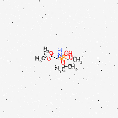 COC[PH](O)(NCC(=O)OC(C)C)OC(C)C